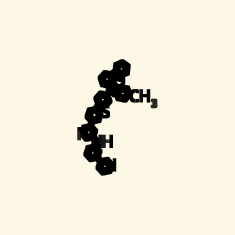 Cc1ccc(N(c2ccc3c(c2)sc2cc(-c4cncc(Nc5cccc(-c6cccnc6)c5)c4)ccc23)c2cccc3c2oc2ccccc23)cc1